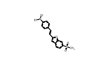 CCN(CC)c1ccc(/C=C/c2cc3ccc(S(C)(=O)=O)cc3o2)cc1